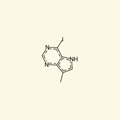 Cc1c[nH]c2c(I)ncnc12